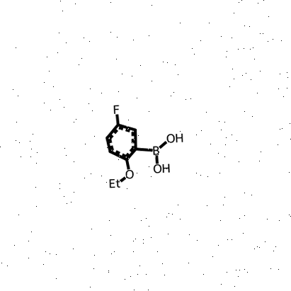 CCOc1ccc(F)cc1B(O)O